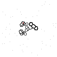 O=C(OCC(COC(=O)C12CC3CC(CC(C3)C1)C2)Cc1c2ccccc2cc2ccccc12)C12CC3CC(CC(C3)C1)C2